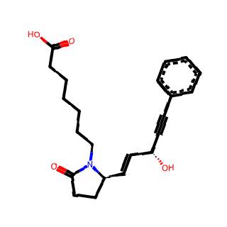 O=C(O)CCCCCCN1C(=O)CC[C@@H]1C=C[C@@H](O)C#Cc1ccccc1